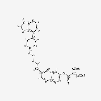 CCCCCCCCN(CCCCCCCC)C(=O)Oc1ccc2ccc(OCCCCN3CCN(c4cccc5sccc45)CC3)cc2n1